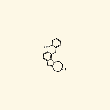 Oc1ccccc1Cc1cccc2cc3n(c12)CCNCC3